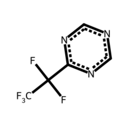 FC(F)(F)C(F)(F)c1ncncn1